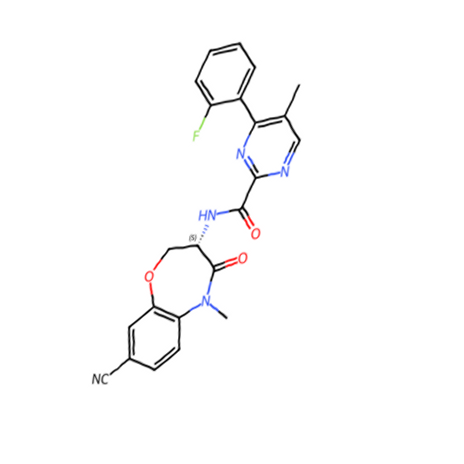 Cc1cnc(C(=O)N[C@H]2COc3cc(C#N)ccc3N(C)C2=O)nc1-c1ccccc1F